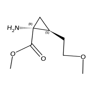 COCC[C@@H]1C[C@]1(N)C(=O)OC